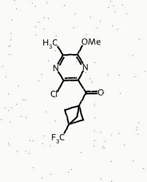 COc1nc(C(=O)C23CC(C(F)(F)F)(C2)C3)c(Cl)nc1C